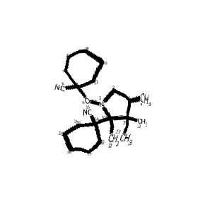 CC1CN(OC2(C#N)CCCCC2)C(C)(C2(C#N)CCCCC2)C1(C)C